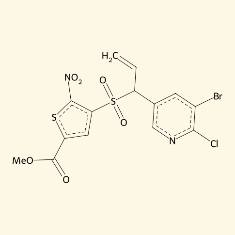 C=CC(c1cnc(Cl)c(Br)c1)S(=O)(=O)c1cc(C(=O)OC)sc1[N+](=O)[O-]